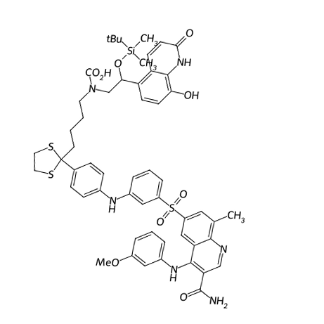 COc1cccc(Nc2c(C(N)=O)cnc3c(C)cc(S(=O)(=O)c4cccc(Nc5ccc(C6(CCCCN(CC(O[Si](C)(C)C(C)(C)C)c7ccc(O)c8[nH]c(=O)ccc78)C(=O)O)SCCS6)cc5)c4)cc23)c1